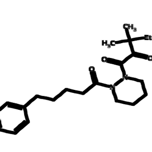 CCC(C)(C)C(=O)C(=O)N1CCCCN1C(=O)CCCCc1ccccc1